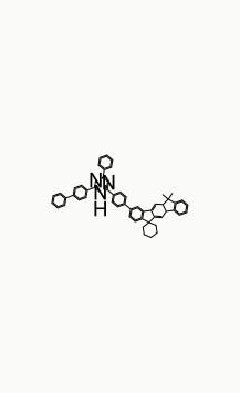 CC1(C)c2ccccc2C2C=C3C(=CC21)c1cc(-c2ccc(C4=NC(c5ccccc5)=NC(c5ccc(-c6ccccc6)cc5)N4)cc2)ccc1C31CCCCC1